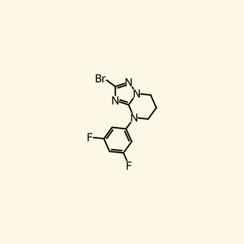 Fc1cc(F)cc(N2CCCn3nc(Br)nc32)c1